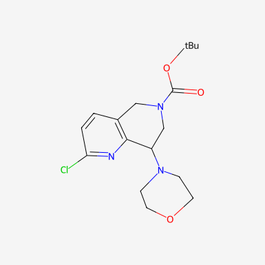 CC(C)(C)OC(=O)N1Cc2ccc(Cl)nc2C(N2CCOCC2)C1